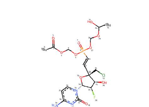 CC(C)(C)C(=O)OCOP(=O)(/C=C/[C@@]1(CCl)O[C@@H](n2ccc(N)nc2=O)[C@H](F)[C@@H]1O)OCOC(O)C(C)(C)C